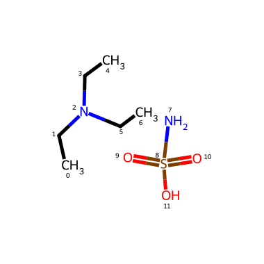 CCN(CC)CC.NS(=O)(=O)O